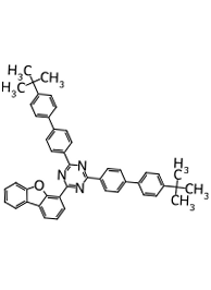 CC(C)(C)c1ccc(-c2ccc(-c3nc(-c4ccc(-c5ccc(C(C)(C)C)cc5)cc4)nc(-c4cccc5c4oc4ccccc45)n3)cc2)cc1